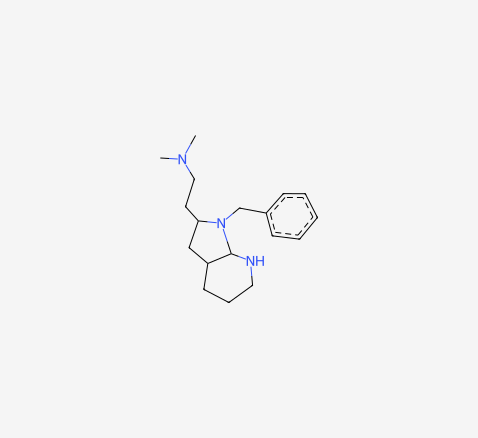 CN(C)CCC1CC2CCCNC2N1Cc1ccccc1